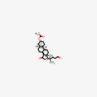 CC(=O)O[C@H]1CC[C@@]2(C)[C@@H](CCC3=C4C(=O)C[C@H]([C@H](C)CCC=O)[C@@]4(C)CC[C@@H]32)C1